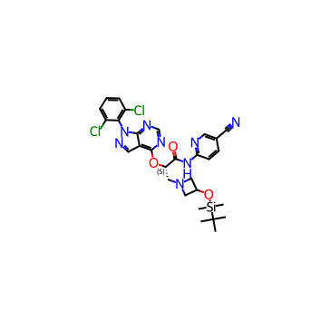 CC(C)(C)[Si](C)(C)OC1CN(C[C@H](Oc2ncnc3c2cnn3-c2c(Cl)cccc2Cl)C(=O)Nc2ccc(C#N)cn2)C1